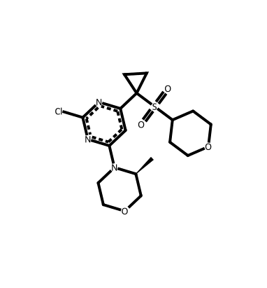 C[C@H]1COCCN1c1cc(C2(S(=O)(=O)C3CCOCC3)CC2)nc(Cl)n1